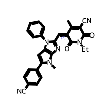 CCN1C(=O)C(C#N)=C(C)/C(=C/c2nc3c(cc(-c4ccc(C#N)cc4)n3C)n2-c2ccccc2)C1=O